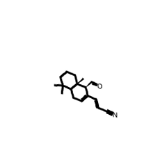 CC1(C)CCC[C@@]2(C)C1CC=C(/C=C/C#N)[C@@H]2C=O